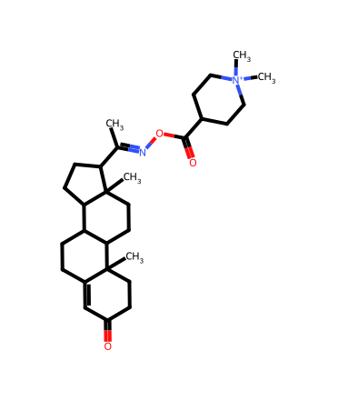 CC(=NOC(=O)C1CC[N+](C)(C)CC1)C1CCC2C3CCC4=CC(=O)CCC4(C)C3CCC12C